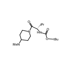 CNC1CCN(C(=O)[C@@H](NC(=O)OC(C)(C)C)C(C)C)CC1